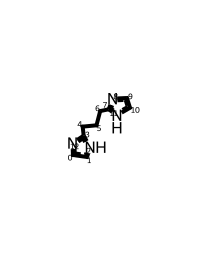 c1c[nH]c(CCCc2ncc[nH]2)n1